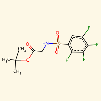 CC(C)(C)OC(=O)CNS(=O)(=O)c1cc(F)c(F)c(F)c1F